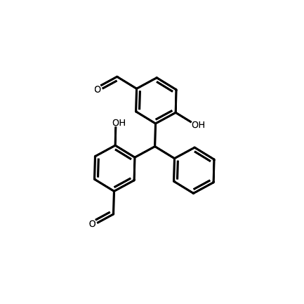 O=Cc1ccc(O)c(C(c2ccccc2)c2cc(C=O)ccc2O)c1